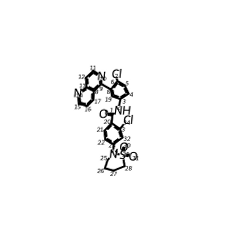 O=C(Nc1ccc(Cl)c(-c2nccc3ncccc23)c1)c1ccc(N2CCCCS2(=O)=O)cc1Cl